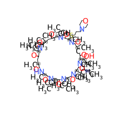 C/C=C/C[C@@H](C)[C@@H](O)[C@@H]1C(=O)C[C@H](CC)C(=O)N(C)[C@H](SCCCN2CCOCC2)C(=O)N(C)[C@@H](CC(C)C)C(=O)C[C@H](C(C)C)C(=O)N(C)[C@H](CC(C)C)C(=O)C[C@H](C)C(=O)N[C@@H](C)C(=O)N(C)[C@H](CC(C)C)C(=O)N(C)[C@H](CC(C)C)C(=O)N(C)[C@H](C(C)C)C(=O)N1C